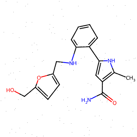 Cc1[nH]c(-c2ccccc2NCc2ccc(CO)o2)cc1C(N)=O